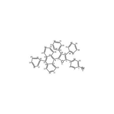 Brc1ccc(-c2oc(-c3c4ccccc4c(-c4ccccc4)c4ccccc34)c(-c3ccccc3)c2-c2ccccc2)cc1